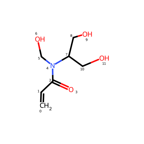 C=CC(=O)N(CO)C(CO)CO